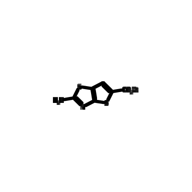 CCOC(=O)c1cc2sc(N)nc2s1